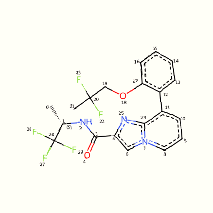 C[C@H](NC(=O)c1cn2cccc(-c3ccccc3OCC(C)(F)F)c2n1)C(F)(F)F